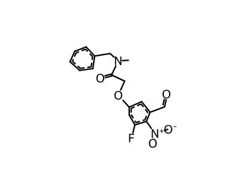 CN(Cc1ccccc1)C(=O)COc1cc(F)c([N+](=O)[O-])c(C=O)c1